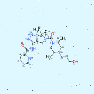 CC1CN(C(=O)N2Cc3c(NC(=O)c4ccccn4)n[nH]c3C2(C)C)C(C)CN1CCCO